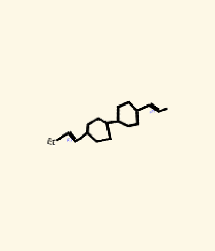 C/C=C/C1CCC(C2CCC(/C=C/CC)CC2)CC1